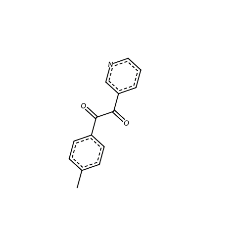 Cc1ccc(C(=O)C(=O)c2cccnc2)cc1